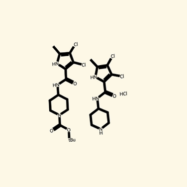 Cc1[nH]c(C(=O)NC2CCN(C(=O)OC(C)(C)C)CC2)c(Cl)c1Cl.Cc1[nH]c(C(=O)NC2CCNCC2)c(Cl)c1Cl.Cl